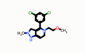 COCCN1CC=C2NN(C)CC2=C1c1cc(Cl)cc(Cl)c1